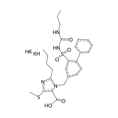 CCCCc1nc(SC)c(C(=O)O)n1Cc1ccc(-c2ccccc2)c(S(=O)(=O)NC(=O)NCCC)c1.[KH].[KH]